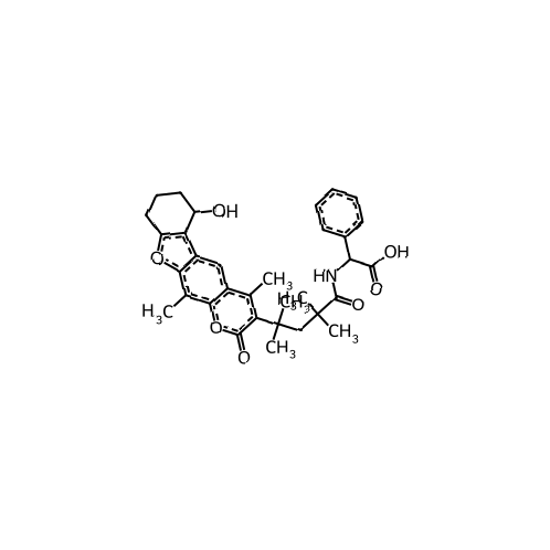 Cc1c(C(C)(C)CC(C)(C)C(=O)NC(C(=O)O)c2ccccc2)c(=O)oc2c(C)c3oc4c(c3cc12)C(O)CCC4